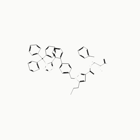 CCCc1cc(C(=O)N[C@H](Cc2ccccc2)[C@@H](O)C(=O)O)nn1Cc1ccc(-c2ccccc2-c2nnnn2C(c2ccccc2)(c2ccccc2)c2ccccc2)cc1